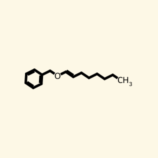 CCCCCC/C=C/OCc1ccccc1